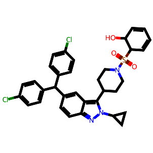 O=S(=O)(C1C=CC=CC1O)N1CCC(c2c3cc(C(c4ccc(Cl)cc4)c4ccc(Cl)cc4)ccc3nn2C2CC2)CC1